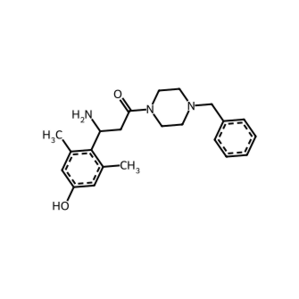 Cc1cc(O)cc(C)c1C(N)CC(=O)N1CCN(Cc2ccccc2)CC1